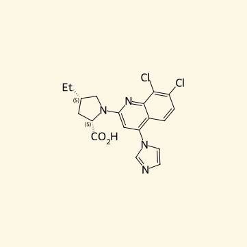 CC[C@H]1C[C@@H](C(=O)O)N(c2cc(-n3ccnc3)c3ccc(Cl)c(Cl)c3n2)C1